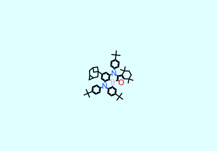 CC(C)(C)c1ccc(N2c3ccc(C(C)(C)C)cc3B3c4oc5c(c4N(c4ccc(C(C)(C)C)cc4)c4cc(C67CC(CC8CC8C6)C7)cc2c43)C(C)(C)CCC5(C)C)cc1